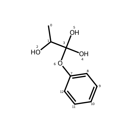 CC(O)C(O)(O)Oc1ccccc1